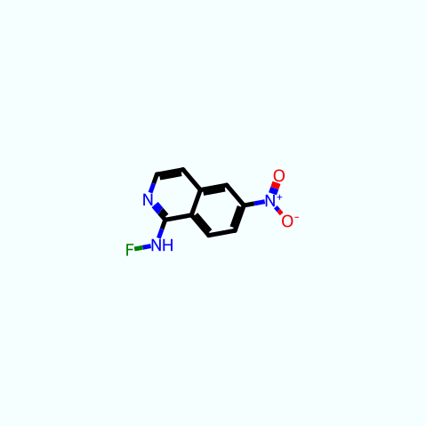 O=[N+]([O-])c1ccc2c(NF)nccc2c1